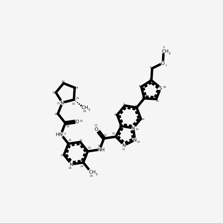 COCc1cc(-c2ccc3c(C(=O)Nc4cc(NC(=O)CN5CCC[C@@H]5C)cnc4C)nnn3c2)cs1